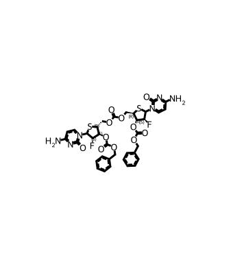 Nc1ccn(C2S[C@H](COC(=O)OC[C@H]3SC(n4ccc(N)nc4=O)[C@@H](F)[C@@H]3OC(=O)OCc3ccccc3)[C@@H](OC(=O)OCc3ccccc3)[C@@H]2F)c(=O)n1